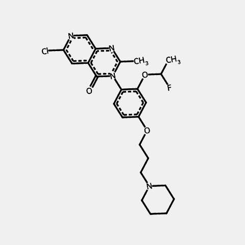 Cc1nc2cnc(Cl)cc2c(=O)n1-c1ccc(OCCCN2CCCCC2)cc1OC(C)F